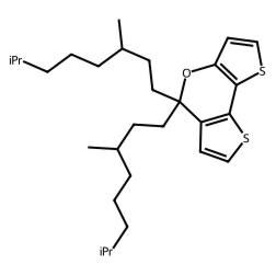 CC(C)CCCC(C)CCC1(CCC(C)CCCC(C)C)Oc2ccsc2-c2sccc21